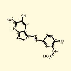 CCOC(=O)Nc1nc(/N=N/c2snc3nc(SC)c(C#N)cc23)ccc1O